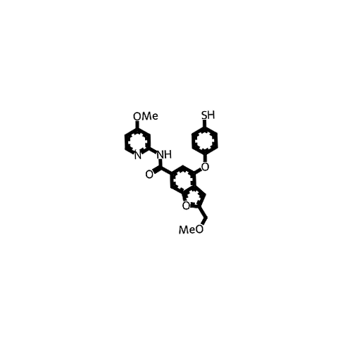 COCc1cc2c(Oc3ccc(S)cc3)cc(C(=O)Nc3cc(OC)ccn3)cc2o1